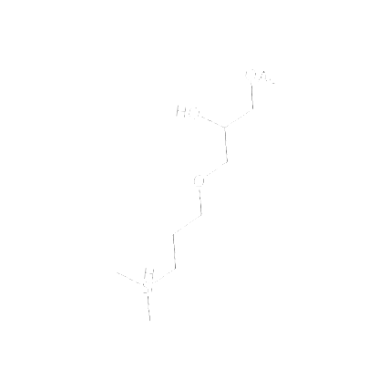 CC(=O)OCC(O)COCCC[SiH](C)C